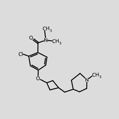 CN1CCC(CC2CC(Oc3ccc(C(=O)N(C)C)c(Cl)c3)C2)CC1